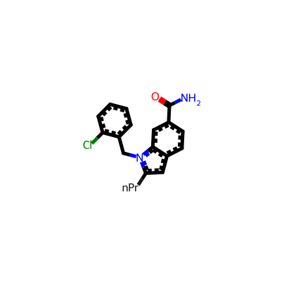 CCCc1cc2ccc(C(N)=O)cc2n1Cc1ccccc1Cl